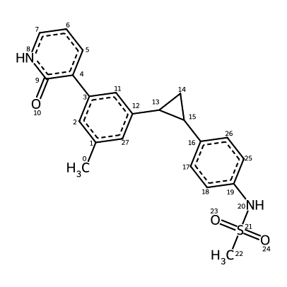 Cc1cc(-c2ccc[nH]c2=O)cc(C2CC2c2ccc(NS(C)(=O)=O)cc2)c1